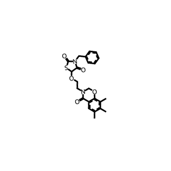 Cc1cc2c(c(C)c1C)OCN(CCOC1SC(=O)N(Cc3ccccc3)C1=O)C2=O